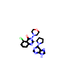 O=c1c2c(Cl)cccc2nc([C@@H]2CCCN2c2ncnc3[nH]cnc23)n1N1CCOCC1